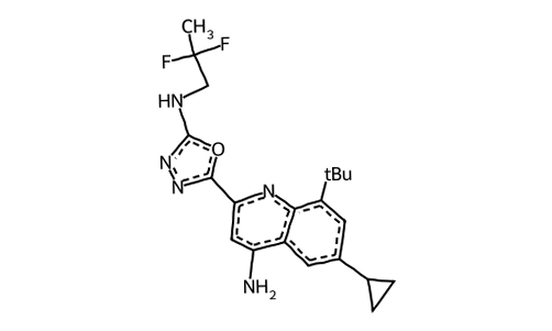 CC(F)(F)CNc1nnc(-c2cc(N)c3cc(C4CC4)cc(C(C)(C)C)c3n2)o1